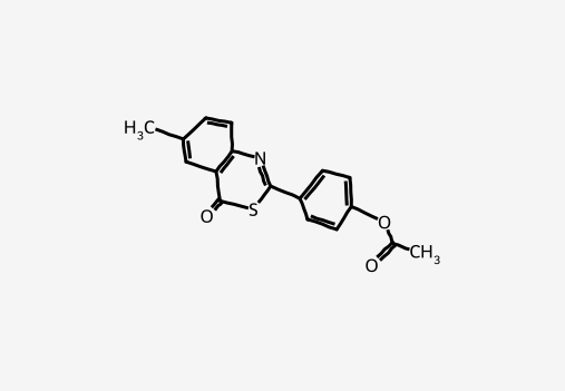 CC(=O)Oc1ccc(-c2nc3ccc(C)cc3c(=O)s2)cc1